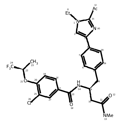 CCn1cc(-c2ccc(C[C@@H](CC(=O)NC)NC(=O)c3ccc(O[C@H](C)C(F)(F)F)c(Cl)c3)cc2)nc1C(C)=O